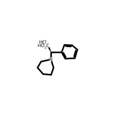 Cl.O=C(O)[C@@H](c1ccccc1)N1CCCCC1